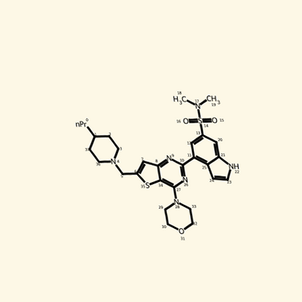 CCCC1CCN(Cc2cc3nc(-c4cc(S(=O)(=O)N(C)C)cc5[nH]ccc45)nc(N4CCOCC4)c3s2)CC1